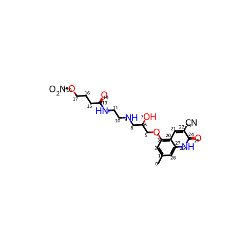 Cc1cc(OCC(O)CNCCNC(=O)CCCO[N+](=O)[O-])c2cc(C#N)c(=O)[nH]c2c1